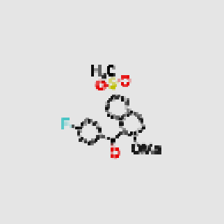 COc1ccc2cc(S(C)(=O)=O)ccc2c1C(=O)c1ccc(F)cc1